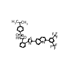 CC(C)c1ccc(S(=O)(=O)NC(=O)c2ccccc2-c2csc(-c3ccc4nc(-c5cc(C(F)(F)F)cc(C(F)(F)F)c5)ccc4c3)n2)cc1